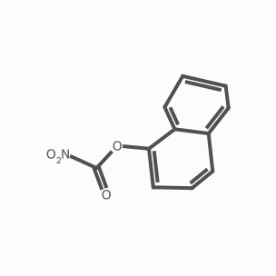 O=C(Oc1cccc2ccccc12)[N+](=O)[O-]